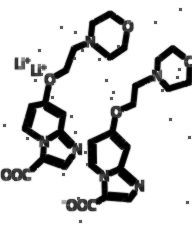 O=C([O-])c1cnc2cc(OCCN3CCOCC3)ccn12.O=C([O-])c1cnc2cc(OCCN3CCOCC3)ccn12.[Li+].[Li+]